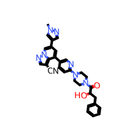 Cn1cc(-c2cc(-c3ccc(N4CCN(C(=O)C(O)Cc5ccccc5)CC4)nc3)c3c(C#N)cnn3c2)cn1